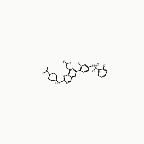 Cc1nc(NS(=O)(=O)c2ccccc2Cl)ccc1-c1cc(CC(F)F)c2nc(NC3CCC(N(C)C)CC3)ncc2c1